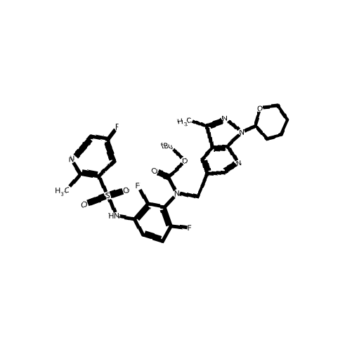 Cc1ncc(F)cc1S(=O)(=O)Nc1ccc(F)c(N(Cc2cnc3c(c2)c(C)nn3C2CCCCO2)C(=O)OC(C)(C)C)c1F